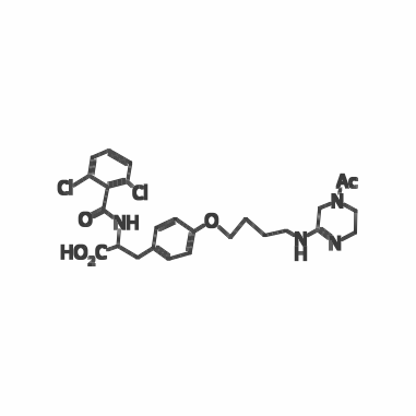 CC(=O)N1CCN=C(NCCCCOc2ccc(CC(NC(=O)c3c(Cl)cccc3Cl)C(=O)O)cc2)C1